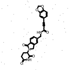 O=C(C#Cc1ccc2c(c1)OCO2)NCc1ccc2c(c1)CN(C1CCC(=O)NC1=O)C2=O